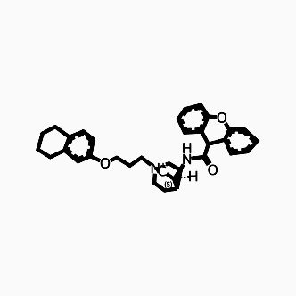 O=C(N[C@@H]1C[N+]2(CCCOc3ccc4c(c3)CCCC4)CCC1CC2)C1c2ccccc2Oc2ccccc21